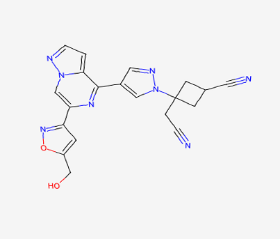 N#CCC1(n2cc(-c3nc(-c4cc(CO)on4)cn4nccc34)cn2)CC(C#N)C1